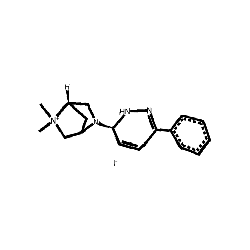 C[N+]1(C)CC2C[C@H]1CN2[C@@H]1C=CC(c2ccccc2)=NN1.[I-]